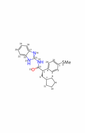 CSc1ccc([C@@H](CC2CCCC2)C(=O)Nc2nc3ccccc3[nH]2)cc1